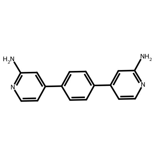 Nc1cc(-c2ccc(-c3ccnc(N)c3)cc2)ccn1